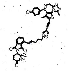 Cc1c(C#Cc2cnn(CCC/C=C/c3cccc4c3C(=O)N(C3CCC(=O)NC3=O)C4=O)c2)sc2c1C(c1ccc(Cl)cc1)=NCc1nnc(C)n1-2